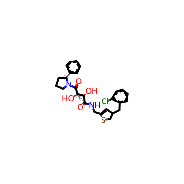 O=C(NCC1=CC(Cc2ccccc2Cl)CS1)[C@H](O)[C@@H](O)C(=O)N1CCC[C@@H]1c1ccccc1